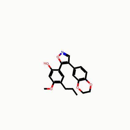 CCCc1cc(-c2oncc2-c2ccc3c(c2)OCCO3)c(O)cc1OC